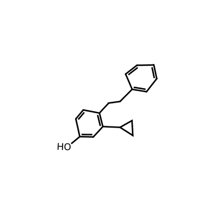 Oc1ccc(CCc2ccccc2)c(C2CC2)c1